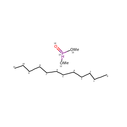 CCCCCCCCCCCC.CO[PH](=O)OC